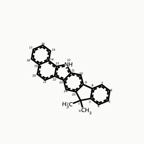 CC1(C)c2ccccc2-c2cc3[nH]c4c5ccccc5ccc4c3cc21